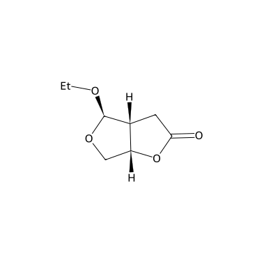 CCO[C@@H]1OC[C@H]2OC(=O)C[C@@H]12